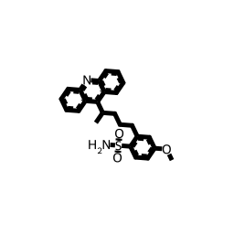 COc1ccc(S(N)(=O)=O)c(CCCC(C)c2c3ccccc3nc3ccccc23)c1